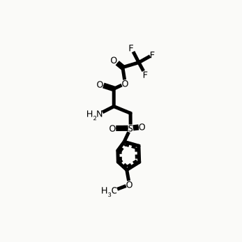 COc1ccc(S(=O)(=O)CC(N)C(=O)OC(=O)C(F)(F)F)cc1